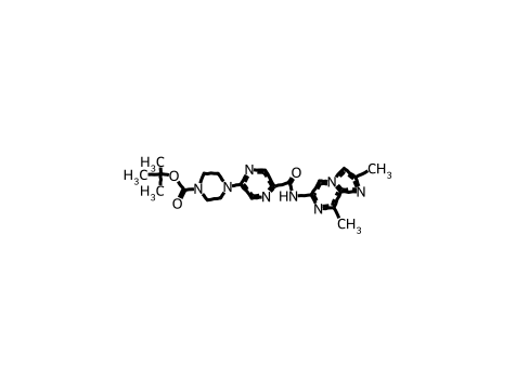 Cc1cn2cc(NC(=O)c3cnc(N4CCN(C(=O)OC(C)(C)C)CC4)cn3)nc(C)c2n1